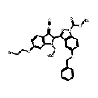 CC(C)(C)OC(=O)n1nc(C2C(=C=O)c3ccc(OCCBr)cc3N2OC(C)(C)C)c2cc(OCc3ccccc3)ccc21